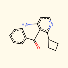 Nc1ccnc(C2CCC2)c1C(=O)c1ccccc1